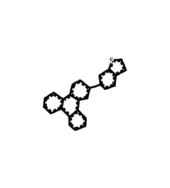 c1ccc2c(c1)c1ccccc1c1cc(-c3ccc4ccsc4c3)ccc21